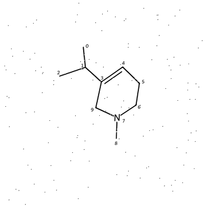 CC(C)C1=CCCN(I)C1